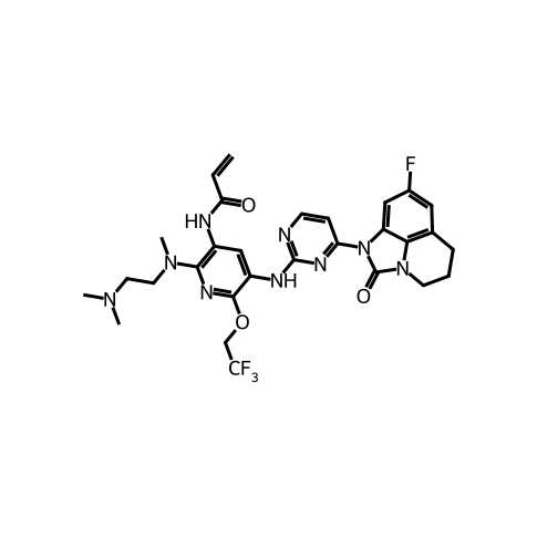 C=CC(=O)Nc1cc(Nc2nccc(-n3c(=O)n4c5c(cc(F)cc53)CCC4)n2)c(OCC(F)(F)F)nc1N(C)CCN(C)C